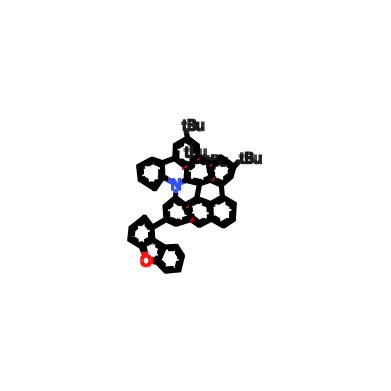 CC(C)(C)c1cc(-c2ccccc2N(c2cccc(-c3cccc4oc5ccccc5c34)c2)c2ccccc2-c2cccc3cccc(-c4cc(C(C)(C)C)cc(C(C)(C)C)c4)c23)cc(C(C)(C)C)c1